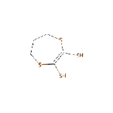 SC1=C(S)SCCCS1